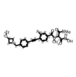 CCOC1CN(Cc2ccc(C#Cc3ccc(C(=O)N(C)C(C(=O)NC)C(=O)NO)cc3F)cc2)C1